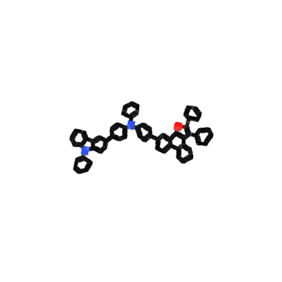 c1ccc(-c2oc3c4cc(-c5ccc(N(c6ccccc6)c6ccc(-c7ccc8c(c7)c7ccccc7n8-c7ccccc7)cc6)cc5)ccc4c4ccccc4c3c2-c2ccccc2)cc1